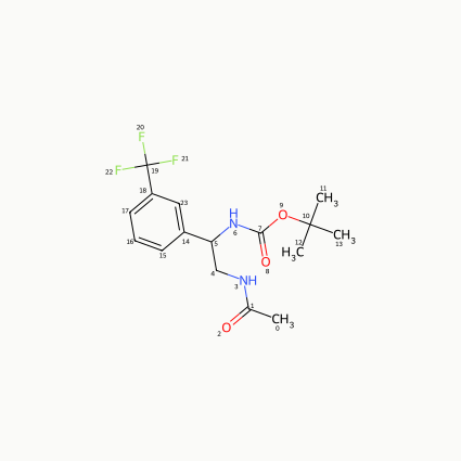 CC(=O)NCC(NC(=O)OC(C)(C)C)c1cccc(C(F)(F)F)c1